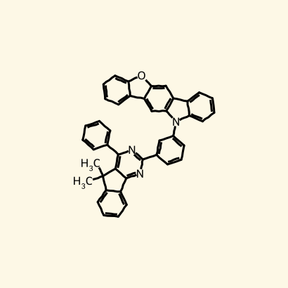 CC1(C)c2ccccc2-c2nc(-c3cccc(-n4c5ccccc5c5cc6oc7ccccc7c6cc54)c3)nc(-c3ccccc3)c21